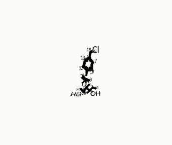 CCC(C)(O)C(C)(O[Si](C)(C)c1ccc(CCl)cc1)C(C)(C)O